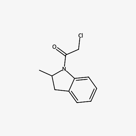 CC1Cc2ccccc2N1C(=O)CCl